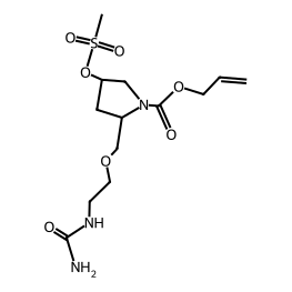 C=CCOC(=O)N1CC(OS(C)(=O)=O)CC1COCCNC(N)=O